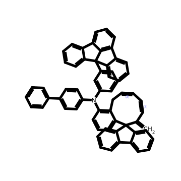 C=C1/C=C\C=C/Cc2c(N(c3ccc(-c4ccccc4)cc3)c3cccc(C45c6ccccc6-c6cccc(c64)-c4ccccc45)c3)cccc2C12c1ccccc1-c1ccccc12